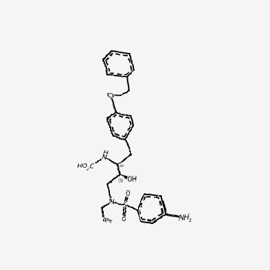 CC(C)CN(C[C@H](O)[C@H](Cc1ccc(OCc2ccccc2)cc1)NC(=O)O)S(=O)(=O)c1ccc(N)cc1